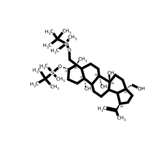 C=C(C)[C@@H]1CC[C@]2(CO)CC[C@]3(C)C(CCC4[C@@]5(C)CC[C@H](O[Si](C)(C)C(C)(C)C)[C@@](C)(CO[Si](C)(C)C(C)(C)C)C5CC[C@]43C)C12